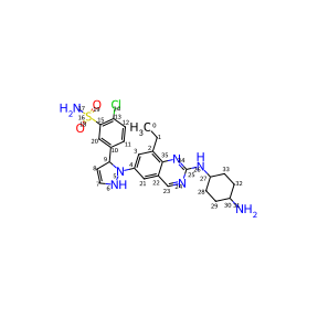 CCc1cc(N2NC=CC2c2ccc(Cl)c(S(N)(=O)=O)c2)cc2cnc(NC3CCC(N)CC3)nc12